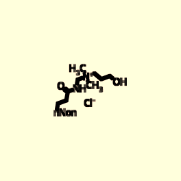 CCCCCCCCCCCC(=O)NC[N+](C)(C)CCCO.[Cl-]